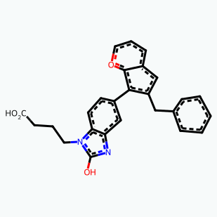 O=C(O)CCCn1c(O)nc2cc(-c3c(Cc4ccccc4)cc4cccoc3-4)ccc21